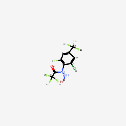 O=C(N(NBr)c1c(F)cc(C(F)(F)F)cc1Cl)C(F)(F)F